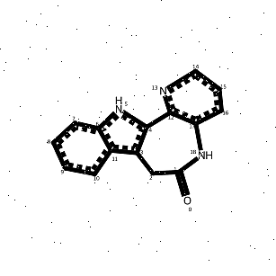 O=C1Cc2c([nH]c3ccccc23)-c2ncccc2N1